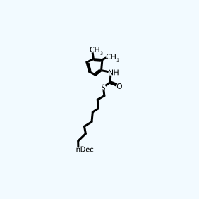 CCCCCCCCCCCCCCCCCCSC(=O)Nc1cccc(C)c1C